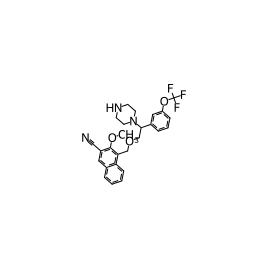 COc1c(C#N)cc2ccccc2c1COCC(c1cccc(OC(F)(F)F)c1)N1CCNCC1